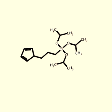 CC(C)O[Si](CCCC1C=CC=C1)(OC(C)C)OC(C)C